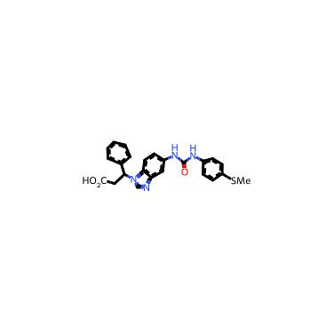 CSc1ccc(NC(=O)Nc2ccc3c(c2)ncn3C(CC(=O)O)c2ccccc2)cc1